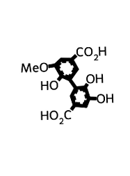 COc1cc(C(=O)O)cc(-c2cc(C(=O)O)cc(O)c2O)c1O